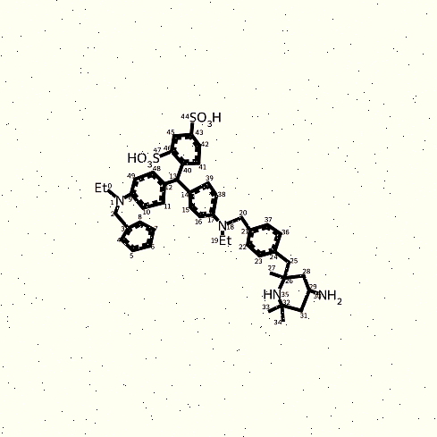 CCN(Cc1ccccc1)c1ccc(C(c2ccc(N(CC)Cc3ccc(CC4(C)CC(N)CC(C)(C)N4)cc3)cc2)c2ccc(S(=O)(=O)O)cc2S(=O)(=O)O)cc1